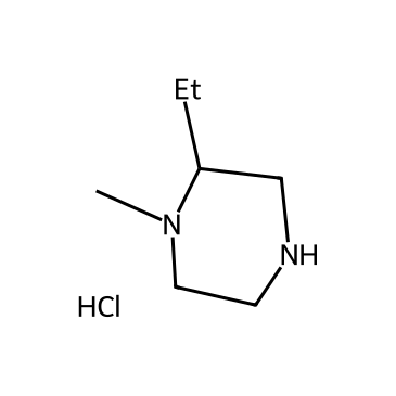 CCC1CNCCN1C.Cl